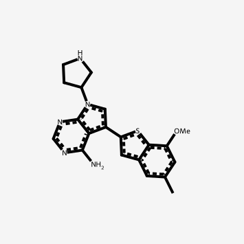 COc1cc(C)cc2cc(-c3cn(C4CCNC4)c4ncnc(N)c34)sc12